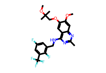 COc1cc2nc(C)nc(NCc3cc(F)cc(C(F)(F)F)c3F)c2cc1OCC(C)(C)OC